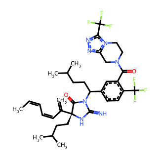 C=C(/C=C\C=C/C)[C@@]1(CCC(C)C)NC(=N)N(C(CCC(C)C)c2ccc(C(F)(F)F)c(C(=O)N3CCn4c(nnc4C(F)(F)F)C3)c2)C1=O